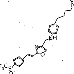 [O-][S+](c1ccc(C=Cc2nc(CNc3ccc(CCCCn4ccnn4)cc3)co2)cc1)C(F)(F)F